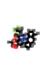 CC(=O)Oc1c2n(ccc1=O)N(C1c3ccccc3CCc3c(C)cccc31)CN([C@H](C)C(F)(F)F)C2=O